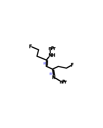 CCC/N=C(/C=C(/CCF)NCCC)CCF